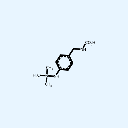 C[N+](C)(C)Nc1ccc(CNC(=O)O)cc1